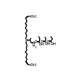 CCC(=O)O.CCC(=O)O.CCC(=O)O.CCCCCCCC/C=C\CCCCCCCCN(CCCCCCCC/C=C\CCCCCCCC)C(C)CN